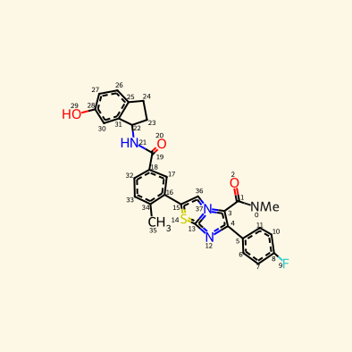 CNC(=O)c1c(-c2ccc(F)cc2)nc2sc(-c3cc(C(=O)NC4CCc5ccc(O)cc54)ccc3C)cn12